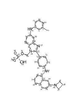 Cc1cc(Nc2cnc3c(c2)nc(-c2ccc(Nc4ccnc5ccc(N6CCC6)cc45)cc2)n3COP(=O)(O)O)ccn1